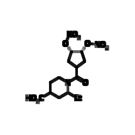 CCC1CC(C(=O)O)CCN1C(=O)C1C[C@H](O[N+](=O)[O-])[C@H](O[N+](=O)[O-])C1